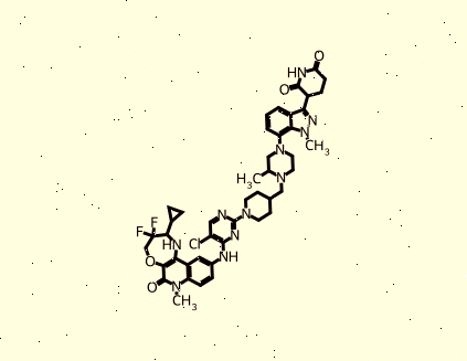 CC1CN(c2cccc3c(C4CCC(=O)NC4=O)nn(C)c23)CCN1CC1CCN(c2ncc(Cl)c(Nc3ccc4c(c3)c3c(c(=O)n4C)OCC(F)(F)C(C4CC4)N3)n2)CC1